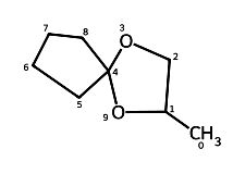 CC1COC2(CCCC2)O1